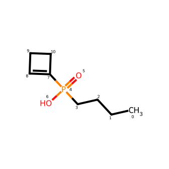 CCCCP(=O)(O)C1=CCC1